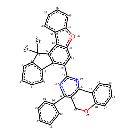 CCC1(CC)c2ccccc2-c2c(-c3nc(-c4ccccc4)c4c(n3)-c3ccccc3OC4)cc3oc4ccccc4c3c21